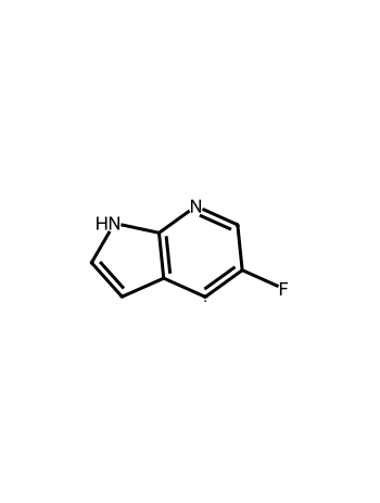 Fc1[c]c2cc[nH]c2nc1